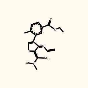 C=C/N=C1/C(c2cc(C(=O)OCC)ccc2C)=CS/C1=C(/N)[S+](C)[O-]